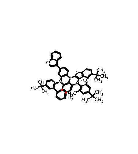 Cc1cc2c3c(c1)N(c1c(C)cc(C(C)(C)C)cc1C)c1c(sc4ccc(C(C)(C)C)cc14)B3c1ccc(-c3coc4ccccc34)cc1N2c1ccc(C(C)(C)C)cc1-c1ccccc1